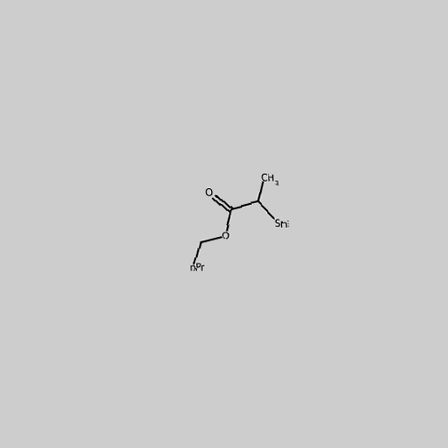 CCCCOC(=O)[CH](C)[Sn]